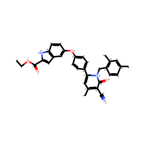 CCOC(=O)c1cc2cc(Oc3ccc(-c4cc(C)c(C#N)c(=O)n4Cc4ccc(C)cc4C)cc3)ccc2[nH]1